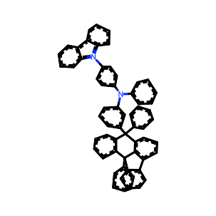 c1ccc(N(c2ccc(-n3c4ccccc4c4ccccc43)cc2)c2cccc(C3(c4ccccc4)c4ccccc4C4(c5ccccc5)c5ccccc5-c5cccc3c54)c2)cc1